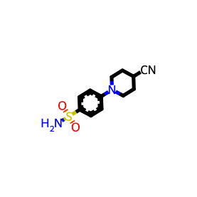 N#CC1CCN(c2ccc(S(N)(=O)=O)cc2)CC1